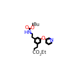 CCOC(=O)CCc1cc(CCNC(=O)OC(C)(C)C)cc(Oc2cccnc2)c1